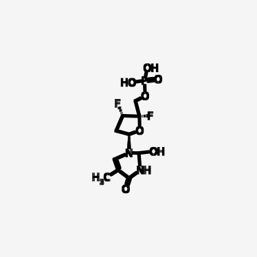 CC1=CN([C@H]2C[C@H](F)[C@@](F)(COP(=O)(O)O)O2)C(O)NC1=O